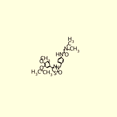 CCN(CC)CC(=O)Nc1ccc(CN2N=C(c3ccc(OC)c(OC(C)C)c3)CSC2=O)cc1